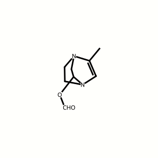 CC1=CN2CCN1CC2OC=O